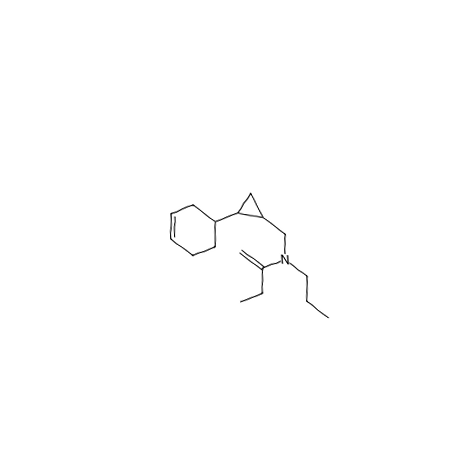 C=C(CC)N(CCC)CC1CC1C1CC=CCC1